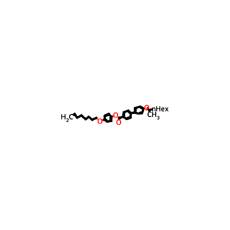 C=CCCCCCCOc1ccc(OC(=O)c2ccc(-c3ccc(OC(C)CCCCCC)cc3)cc2)cc1